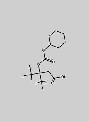 O=C(O)CC(OC(=O)OC1CCCCC1)(C(F)(F)F)C(F)(F)F